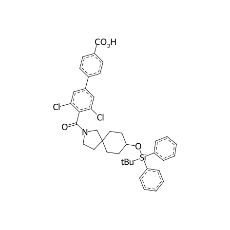 CC(C)(C)[Si](OC1CCC2(CC1)CCN(C(=O)c1c(Cl)cc(-c3ccc(C(=O)O)cc3)cc1Cl)C2)(c1ccccc1)c1ccccc1